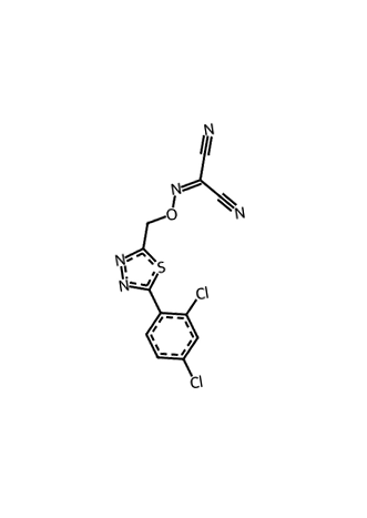 N#CC(C#N)=NOCc1nnc(-c2ccc(Cl)cc2Cl)s1